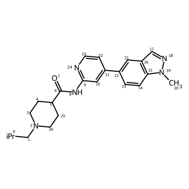 CC(C)CN1CCC(C(=O)Nc2cc(-c3ccc4c(cnn4C)c3)ccn2)CC1